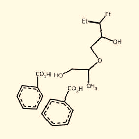 CCC(CC)C(O)COC(C)CO.O=C(O)c1ccccc1.O=C(O)c1ccccc1